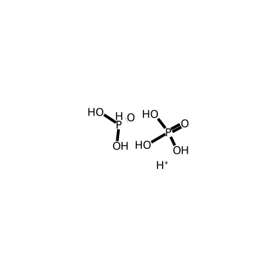 O=P(O)(O)O.O=[PH](O)O.[H+]